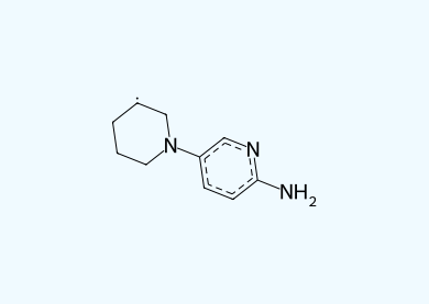 Nc1ccc(N2C[CH]CCC2)cn1